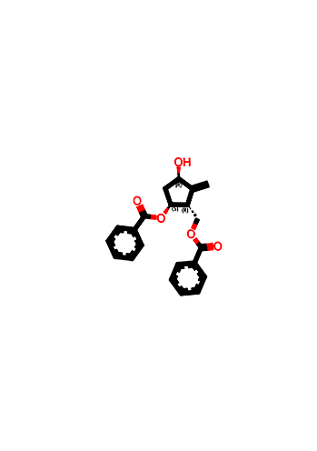 C=C1[C@H](O)C[C@H](OC(=O)c2ccccc2)[C@H]1COC(=O)c1ccccc1